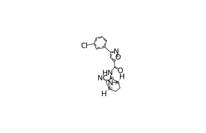 N#CN1[C@H]2CC[C@@H]1[C@H](NC(=O)c1cc(-c3cccc(Cl)c3)no1)C2